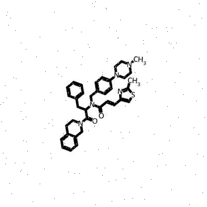 Cc1nc(C=CC(=O)N(Cc2ccc(N3CCN(C)CC3)cc2)C(Cc2ccccc2)C(=O)N2CCc3ccccc3C2)cs1